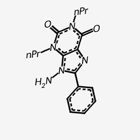 CCCn1c(=O)c2nc(-c3ccccc3)n(N)c2n(CCC)c1=O